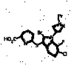 CC(C)n1cc(-n2c(Br)c(Sc3cccc(C(=O)O)n3)c3ccc(Cl)c(F)c32)cn1